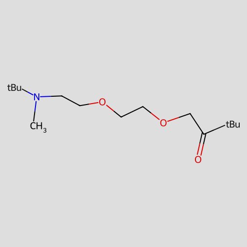 CN(CCOCCOCC(=O)C(C)(C)C)C(C)(C)C